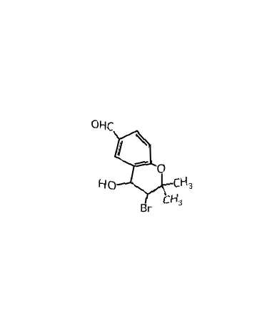 CC1(C)Oc2ccc(C=O)cc2C(O)C1Br